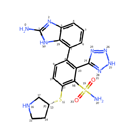 Nc1nc2cccc(-c3ccc(S[C@@H]4CCNC4)c(S(N)(=O)=O)c3-c3nn[nH]n3)c2[nH]1